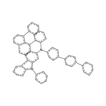 c1ccc(-c2ccc(-c3ccc(N(c4ccc5c6ccccc6n(-c6ccccc6)c5c4)c4ccccc4-c4cccc5cccc(-c6ccccc6)c45)cc3)cc2)cc1